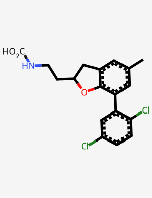 Cc1cc2c(c(-c3cc(Cl)ccc3Cl)c1)OC(CCNC(=O)O)C2